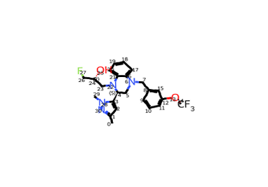 Cc1cc([C@@H]2CN(Cc3cccc(OC(F)(F)F)c3)c3ccccc3N2C[C@@H](O)CF)n(C)n1